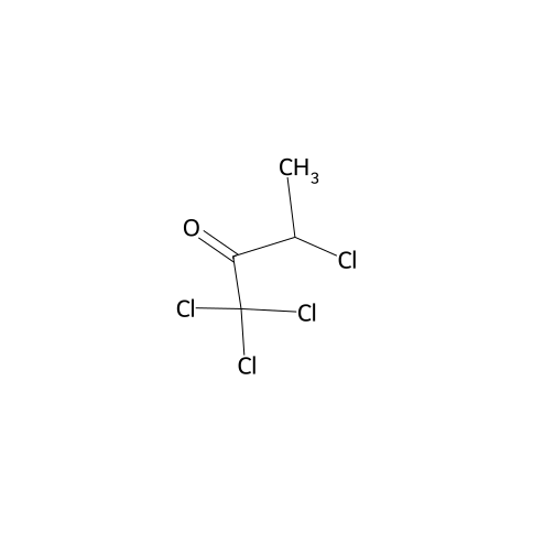 CC(Cl)C(=O)C(Cl)(Cl)Cl